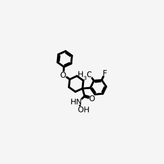 Cc1c(F)cccc1C1(C(=O)NO)CCC(Oc2ccccc2)CC1